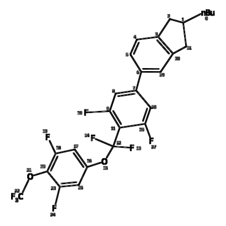 CCCCC1Cc2ccc(-c3cc(F)c(C(F)(F)Oc4cc(F)c(OC(F)(F)F)c(F)c4)c(F)c3)cc2C1